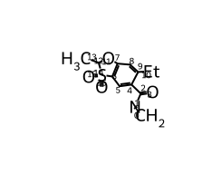 C=NC(=O)c1cc2c(cc1CC)OC(C)S2(=O)=O